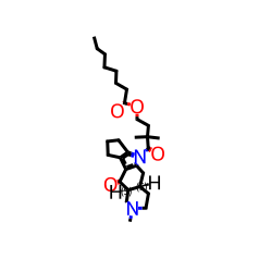 CCCCCCCC(=O)OCCC(C)(C)C(=O)n1c2c(c3c1C[C@@H]1CCN(C)C[C@H]1C3=O)CCC2